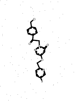 O=C(Cn1ncc(OCc2ccc(F)cn2)cc1=O)c1ccc(CCl)cc1